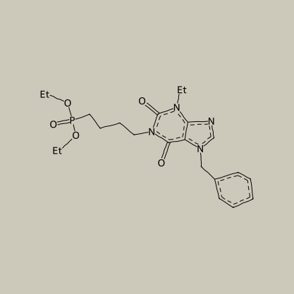 CCOP(=O)(CCCCn1c(=O)c2c(ncn2Cc2ccccc2)n(CC)c1=O)OCC